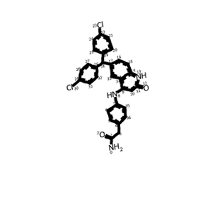 NC(=O)Cc1ccc(Nc2cc(=O)[nH]c3ccc(C(c4ccc(Cl)cc4)c4ccc(Cl)cc4)cc23)cc1